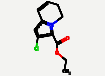 CCOC(=O)c1c(Cl)cc2n1CCC=C2